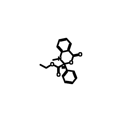 CCOC(=O)[C@]1(c2ccccc2)OC(=O)c2ccccc2N1C